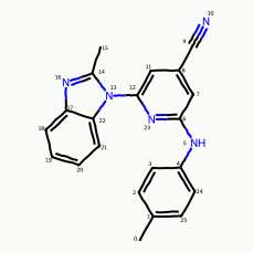 Cc1ccc(Nc2cc(C#N)cc(-n3c(C)nc4ccccc43)n2)cc1